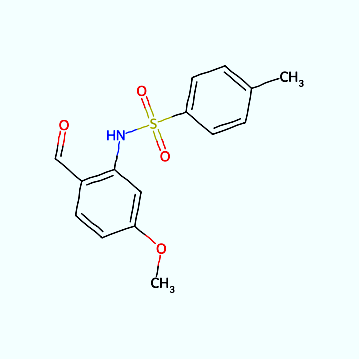 COc1ccc(C=O)c(NS(=O)(=O)c2ccc(C)cc2)c1